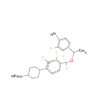 CCCCCC1CCC(c2ccc(C(F)(F)OC(C)c3ccc(CCC)c(F)c3)c(F)c2F)CC1